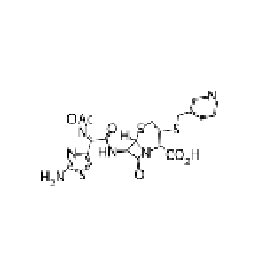 CC(=O)O/N=C(\C(=O)N[C@@H]1C(=O)N2C(C(=O)O)=C(SCc3cccnc3)CS[C@@H]12)c1csc(N)n1